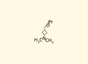 CC(C)OCC1CC(N(C)C)C1